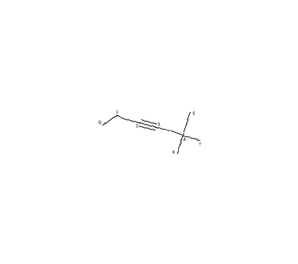 CCC#CC(C)(C)C